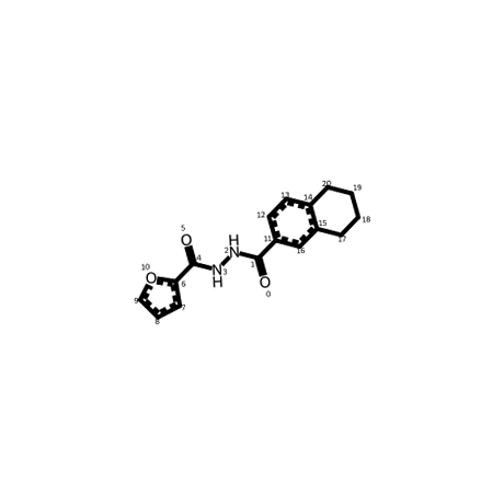 O=C(NNC(=O)c1ccco1)c1ccc2c(c1)CCCC2